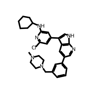 CN1CCN(Cc2cccc(-c3cnc4[nH]cc(-c5cc(Cl)nc(NC6CCCCC6)c5)c4c3)c2)CC1